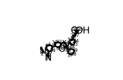 CN(C)c1ccc(-c2ccc(CN(C(=O)C3CCCCC3)c3cccc(C=CC(=O)O)c3)cc2)cc1C#N